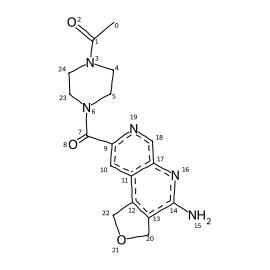 CC(=O)N1CCN(C(=O)c2cc3c4c(c(N)nc3cn2)COC4)CC1